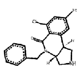 CCc1cc(Cl)c2c(c1)[C@H]1CNC[C@@H]1N(Cc1ccccc1)C2=O